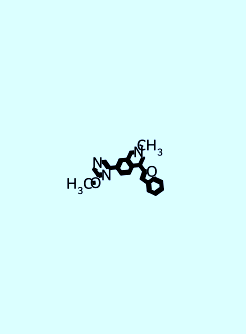 COc1cncc(-c2ccc3c(c2)CN(C)CC3c2cc3ccccc3o2)n1